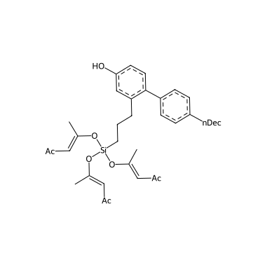 CCCCCCCCCCc1ccc(-c2ccc(O)cc2CCC[Si](OC(C)=CC(C)=O)(OC(C)=CC(C)=O)OC(C)=CC(C)=O)cc1